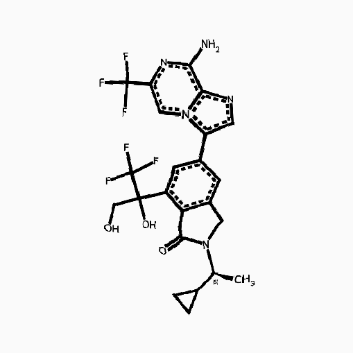 C[C@@H](C1CC1)N1Cc2cc(-c3cnc4c(N)nc(C(F)(F)F)cn34)cc(C(O)(CO)C(F)(F)F)c2C1=O